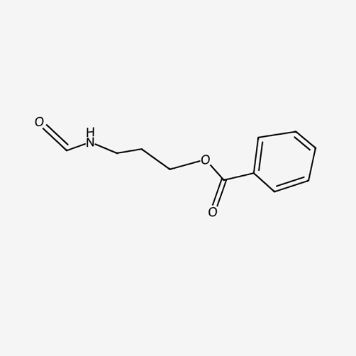 O=CNCCCOC(=O)c1ccccc1